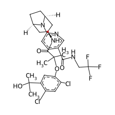 CC(C)(Oc1cc(C(C)(C)O)c(Cl)cc1Cl)C(=O)N[C@H]1C[C@H]2CC[C@@H](C1)N2c1ccc(C(=O)NCC(F)(F)F)cn1